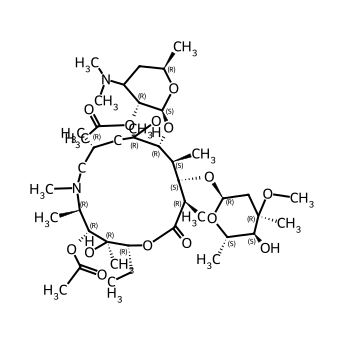 CC[C@H]1OC(=O)[C@H](C)[C@@H](O[C@H]2C[C@@](C)(OC)[C@@H](O)[C@H](C)O2)[C@H](C)[C@@H](O[C@@H]2O[C@H](C)CC(N(C)C)[C@H]2OC(C)=O)[C@](C)(O)C[C@@H](C)CN(C)[C@H](C)[C@@H](OC(C)=O)[C@]1(C)O